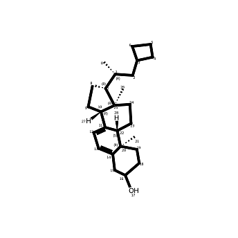 C[C@H](CC1CCC1)[C@H]1CC[C@H]2C3=CC=C4CC(O)CC[C@]4(C)[C@H]3CC[C@]12C